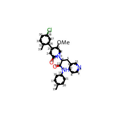 COc1cn(C(Cc2cccnc2)C(=O)Nc2ccc(C)cc2)c(=O)cc1-c1cc(Cl)ccc1C